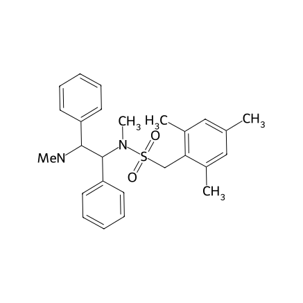 CNC(c1ccccc1)C(c1ccccc1)N(C)S(=O)(=O)Cc1c(C)cc(C)cc1C